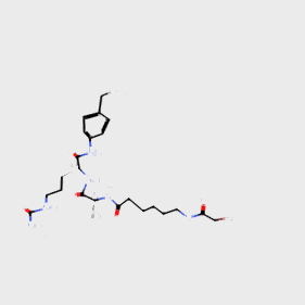 CC(=O)OCc1ccc(NC(=O)[C@H](CCCNC(N)=O)NC(=O)[C@@H](NC(=O)CCCCCNC(=O)CBr)C(C)C)cc1